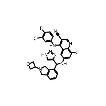 N#Cc1cnc2c(Cl)cc(NC(c3c[nH]nn3)c3cccc4c3CN(C3COC3)C4)cc2c1Nc1ccc(F)c(Cl)c1